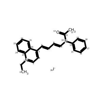 CC[n+]1ccc(C=CC=CN(C(C)=O)c2ccccc2)c2ccccc21.[I-]